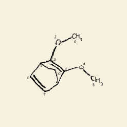 COC1=C(OC)C2C=CC1C2